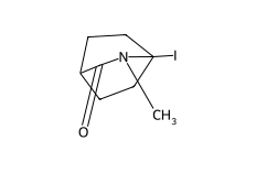 CN1C(=O)C2CCC1(I)CC2